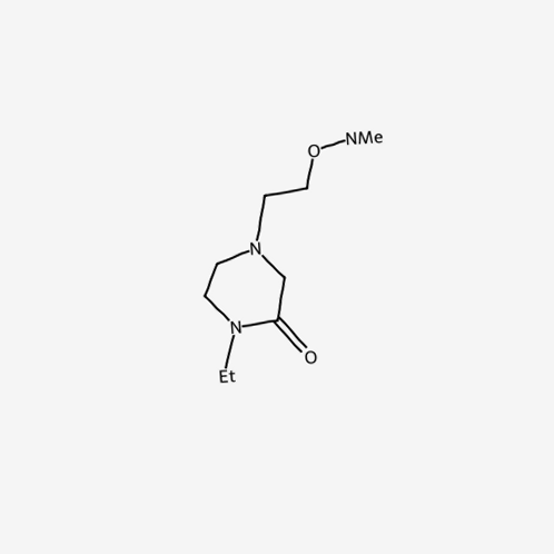 CCN1CCN(CCONC)CC1=O